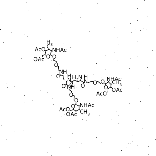 CC(=O)NC1C(OCCOCCNC(=O)CC[C@H](NC(=O)CC[C@H](N)C(=O)NCCOCCOC2OC(COC(C)=O)C(OC(C)=O)C(C)C2NC(C)=O)C(=O)NCCOCCOC2OC(COC(C)=O)C(OC(C)=O)C(C)C2NC(C)=O)OC(COC(C)=O)C(OC(C)=O)C1C